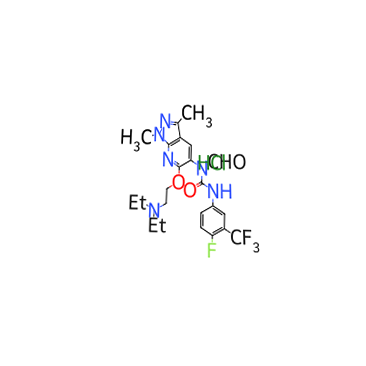 CCN(CC)CCOc1nc2c(cc1N(C=O)C(=O)Nc1ccc(F)c(C(F)(F)F)c1)c(C)nn2C.Cl